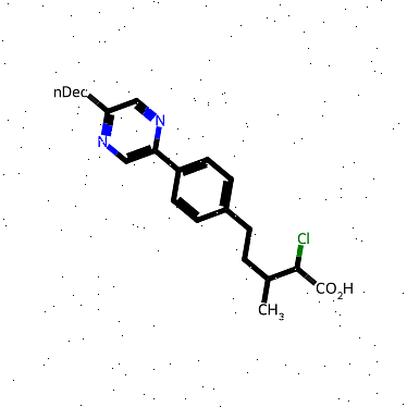 CCCCCCCCCCc1cnc(-c2ccc(CCC(C)C(Cl)C(=O)O)cc2)cn1